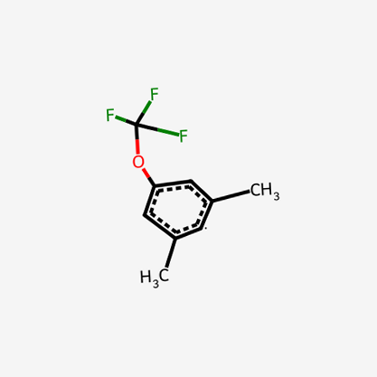 Cc1[c]c(C)cc(OC(F)(F)F)c1